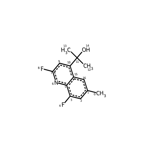 Cc1cc(F)c2nc(F)cc(C(C)(C)O)c2c1